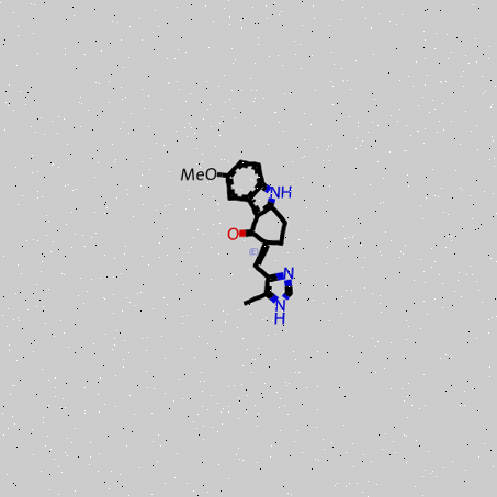 COc1ccc2[nH]c3c(c2c1)C(=O)/C(=C/c1nc[nH]c1C)CC3